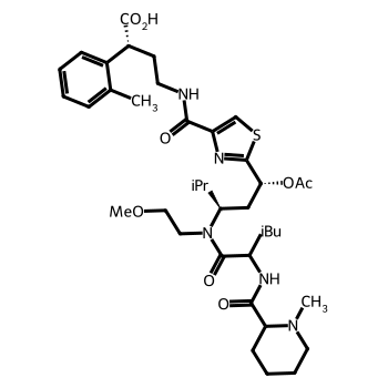 CCC(C)C(NC(=O)C1CCCCN1C)C(=O)N(CCOC)[C@H](C[C@@H](OC(C)=O)c1nc(C(=O)NCC[C@@H](C(=O)O)c2ccccc2C)cs1)C(C)C